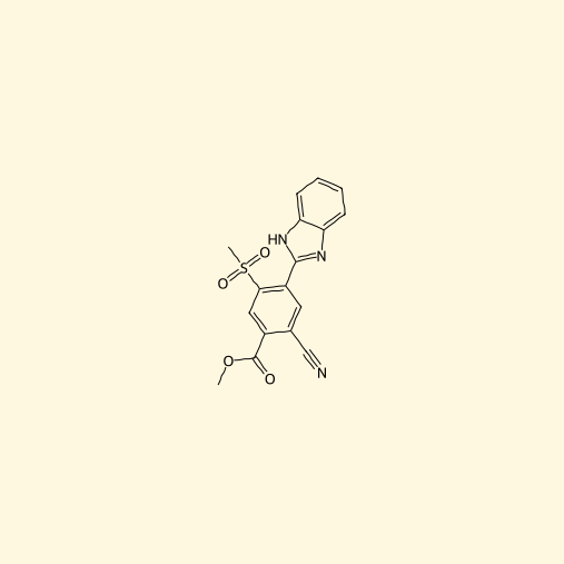 COC(=O)c1cc(S(C)(=O)=O)c(-c2nc3ccccc3[nH]2)cc1C#N